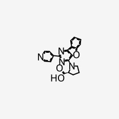 O=C(O)[C@@H]1CCCN1c1nc(-c2ccncc2)nc2c1oc1ccccc12